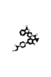 CC(C)CC(=O)N1CCN(c2ccc(C3(C(=O)N4CCC5(C4)OC(=O)c4ccccc45)CC3)c(F)c2)CC1